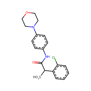 O=C(Nc1ccc(N2CCOCC2)cc1)C(c1ccccc1Cl)S(=O)(=O)O